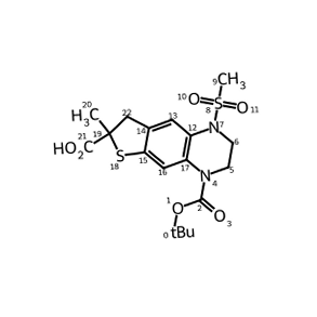 CC(C)(C)OC(=O)N1CCN(S(C)(=O)=O)c2cc3c(cc21)SC(C)(C(=O)O)C3